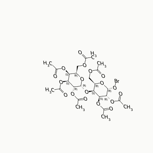 CC(=O)OC[C@H]1O[C@H](O[C@@H]2[C@H](OC(C)=O)[C@@H](OC(C)=O)[C@@H](OBr)O[C@@H]2COC(C)=O)[C@H](OC(C)=O)[C@@H](OC(C)=O)[C@H]1OC(C)=O